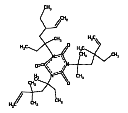 C=CC(CC)CC(C)(CC)n1c(=O)n(C(C)(C)CC(C)(C=C)CC)c(=O)n(C(C)(CC)CC(C)(C)C=C)c1=O